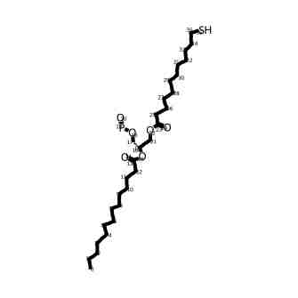 CCCCCCCCCCCCCC(=O)O[C@H](COP=O)COC(=O)CCCCCCCCCCCS